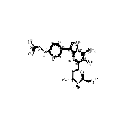 CCCN(C(=O)CO)[C@H](CC)CCc1nc2c(-c3ccc(NNC(=O)CC)nc3)cnn2c(N)c1C(C)=O